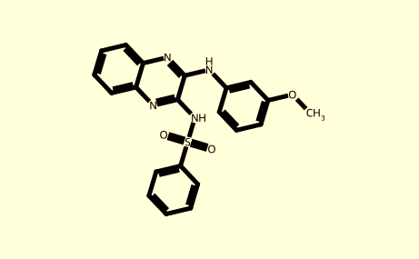 COc1cccc(Nc2nc3ccccc3nc2NS(=O)(=O)c2ccccc2)c1